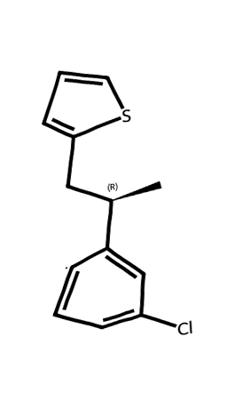 C[C@H](Cc1cccs1)c1[c]ccc(Cl)c1